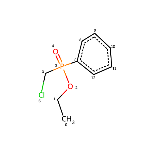 CCOP(=O)(CCl)c1ccccc1